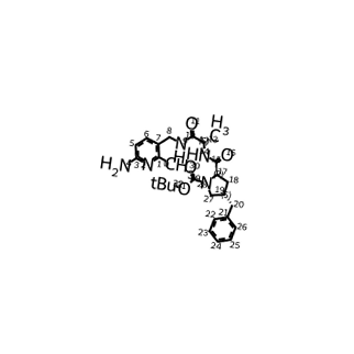 Cc1nc(N)ccc1CNC(=O)[C@H](C)NC(=O)[C@H]1C[C@H](Cc2ccccc2)CN1C(=O)OC(C)(C)C